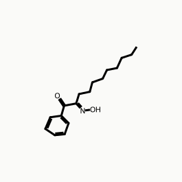 CCCCCCCCCC(=NO)C(=O)c1ccccc1